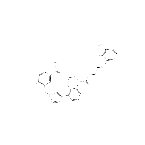 Cc1c(Cl)cccc1OCCOC(=O)N1CCSc2c(-c3cnn(Cc4cc(C(=O)O)ccc4Cl)c3)cccc21